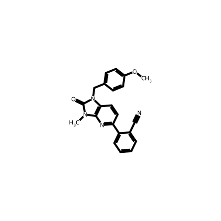 COc1ccc(Cn2c(=O)n(C)c3nc(-c4ccccc4C#N)ccc32)cc1